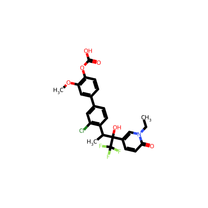 CCn1cc(C(O)(C(C)c2ccc(-c3ccc(OC(=O)O)c(OC)c3)cc2Cl)C(F)(F)F)ccc1=O